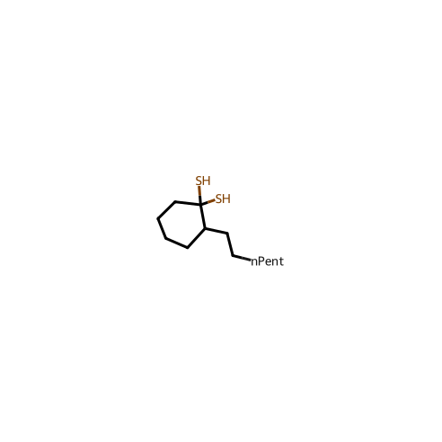 CCCCCCCC1CCCCC1(S)S